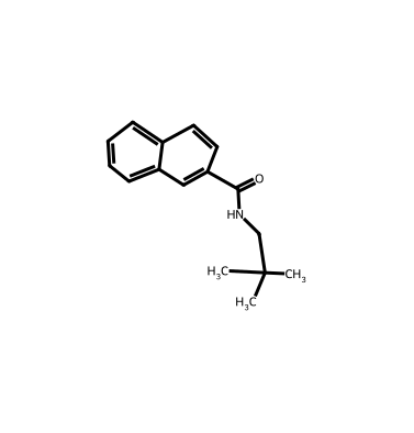 CC(C)(C)CNC(=O)c1ccc2ccccc2c1